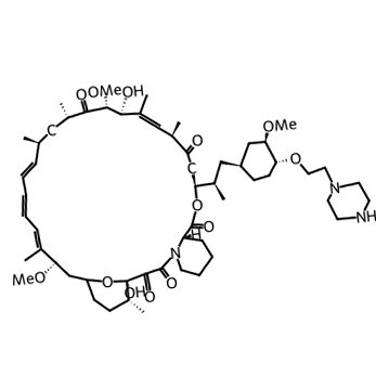 CO[C@H]1CC2CC[C@@H](C)[C@@](O)(O2)C(=O)C(=O)N2CCCC[C@H]2C(=O)O[C@H]([C@H](C)C[C@@H]2CC[C@@H](OCCN3CCNCC3)[C@H](OC)C2)CC(=O)[C@H](C)/C=C(\C)[C@@H](O)[C@@H](OC)C(=O)[C@@H](C)C[C@H](C)/C=C/C=C/C=C/1C